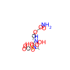 CC(C)CN(C[C@@H](O)[C@H](Cc1ccc(OCCCOC(N)=O)cc1)NC(=O)O)S(=O)(=O)c1ccc2c(c1)OCO2